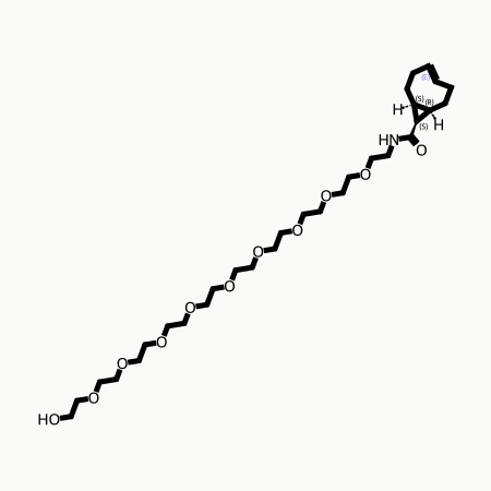 O=C(NCCOCCOCCOCCOCCOCCOCCOCCOCCOCCO)[C@@H]1[C@@H]2CC/C=C/CC[C@@H]21